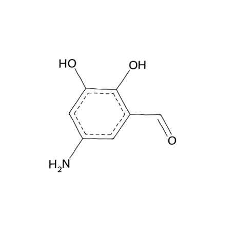 Nc1cc(O)c(O)c(C=O)c1